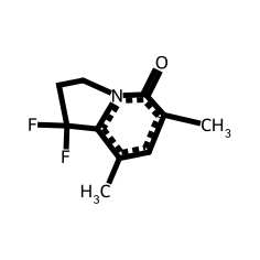 Cc1cc(C)c(=O)n2c1C(F)(F)CC2